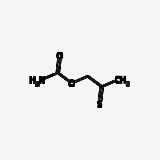 CC(=S)COC(N)=O